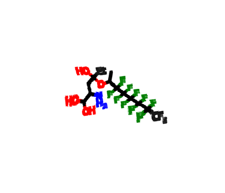 CCC(O)(CC(N)C(O)O)OC(C)C(F)(F)C(F)(F)C(F)(F)C(F)(F)C(F)(F)C(F)(F)F